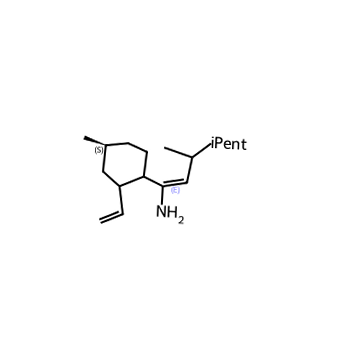 C=CC1C[C@@H](C)CCC1/C(N)=C\C(C)C(C)CCC